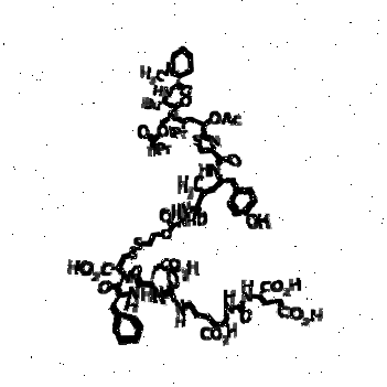 CCCC(=O)OCN(C(=O)[C@@H](NC(=O)[C@H]1CCCCN1C)C(C)CC)[C@H](C[C@@H](OC(C)=O)c1nc(C(=O)N[C@@H](Cc2ccc(O)cc2)C[C@H](C)C(=O)NNC(=O)OCCSSC[C@H](NC(=O)[C@H](Cc2ccccc2)NC(=O)[C@H](CC(=O)O)NC(=O)NCCCC[C@H](NC(=O)N[C@@H](CCC(=O)O)C(=O)O)C(=O)O)C(=O)O)cs1)C(C)C